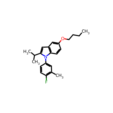 CCCCOc1ccc2c(c1)cc(C(C)C)n2-c1ccc(F)c(C)c1